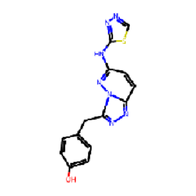 Oc1ccc(Cc2nnc3ccc(Nc4nncs4)nn23)cc1